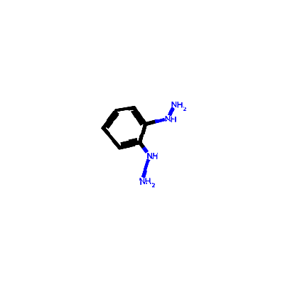 NNc1ccccc1NN